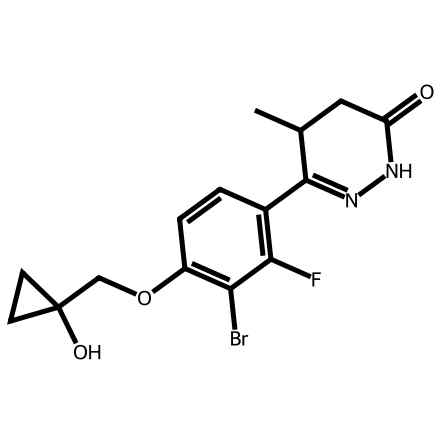 CC1CC(=O)NN=C1c1ccc(OCC2(O)CC2)c(Br)c1F